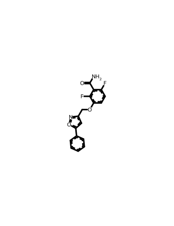 NC(=O)c1c(F)ccc(OCc2cc(-c3ccccc3)on2)c1F